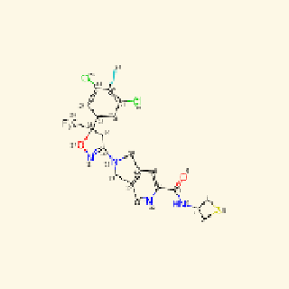 O=C(NC1CSC1)c1cc2c(cn1)CN(C1=NOC(c3cc(Cl)c(F)c(Cl)c3)(C(F)(F)F)C1)C2